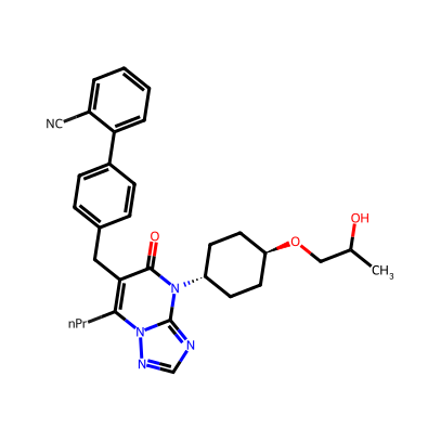 CCCc1c(Cc2ccc(-c3ccccc3C#N)cc2)c(=O)n([C@H]2CC[C@H](OCC(C)O)CC2)c2ncnn12